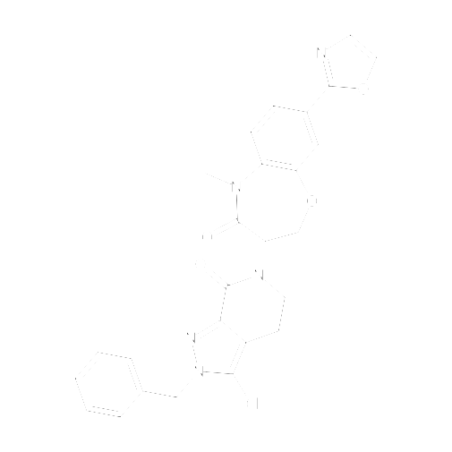 CN1C(=O)[C@@H](N2CCc3c(nn(Cc4ccccc4)c3Cl)C2=O)COc2cc(-c3ncco3)ccc21